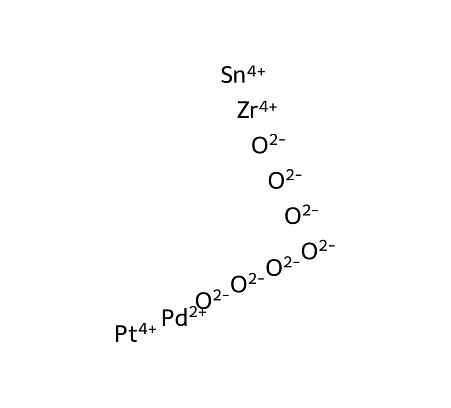 [O-2].[O-2].[O-2].[O-2].[O-2].[O-2].[O-2].[Pd+2].[Pt+4].[Sn+4].[Zr+4]